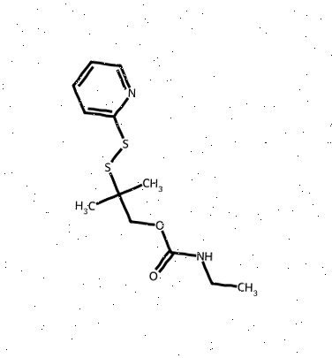 CCNC(=O)OCC(C)(C)SSc1ccccn1